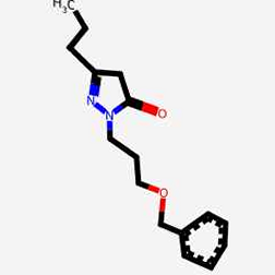 CCCC1=NN(CCCOCc2ccccc2)C(=O)C1